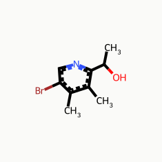 Cc1c(Br)cnc(C(C)O)c1C